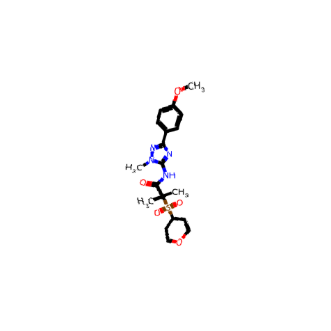 COc1ccc(-c2nc(NC(=O)C(C)(C)S(=O)(=O)C3CCOCC3)n(C)n2)cc1